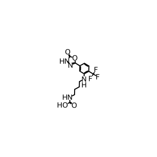 O=C(O)NCCCCNc1cc(-c2n[nH]c(=O)o2)ccc1C(F)(F)F